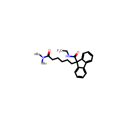 CCCCN(CCCC)C(=O)CCCCCC1(C(=O)NCC(F)(F)F)c2ccccc2-c2ccccc21